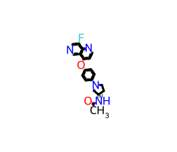 CC(=O)N[C@H]1CCN(c2ccc(Oc3ccnc4c(F)cncc34)cc2)C1